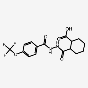 O=C(NNC(=O)C1CCCCC1C(=O)O)c1ccc(OC(F)(F)F)cc1